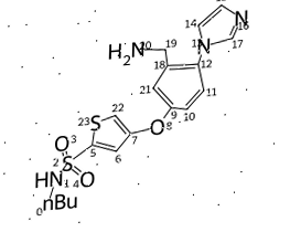 CCCCNS(=O)(=O)c1cc(Oc2ccc(-n3ccnc3)c(CN)c2)cs1